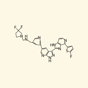 Fc1ccc(-c2nccc3[nH]c(-c4n[nH]c5ncc(-c6cncc(CNCN7CCC(F)(F)C7)c6)cc45)nc23)s1